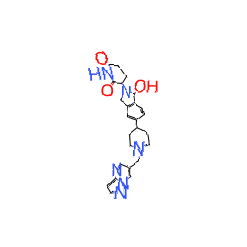 O=C1CCC(N2Cc3cc(C4CCN(Cc5cnc6ccnn6c5)CC4)ccc3C2O)C(=O)N1